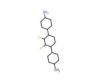 CC1CCC(C2CCC(C3CCC(N)CC3)C(F)C2F)CC1